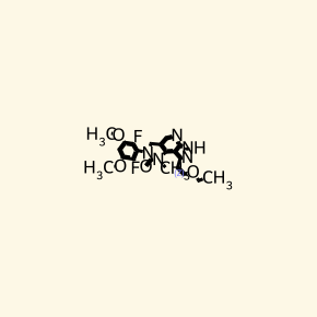 CCO/C=C\c1n[nH]c2ncc3c(c12)N(C)C(=O)N(c1c(F)c(OC)cc(OC)c1F)C3